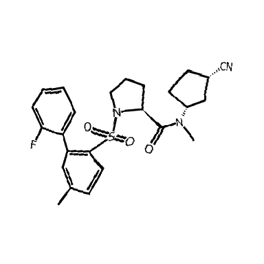 Cc1ccc(S(=O)(=O)N2CCC[C@H]2C(=O)N(C)[C@@H]2CC[C@H](C#N)C2)c(-c2ccccc2F)c1